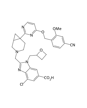 COc1cc(C#N)ccc1COc1ccnc(C23CCN(Cc4nc5c(Cl)cc(C(=O)O)cc5n4CC4CCO4)CC2C3)n1